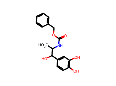 O=C(NC(C(=O)O)C(O)c1ccc(O)c(O)c1)OCc1ccccc1